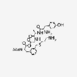 CN[C@@H](Cc1cccc(CSCCCN)c1)C(=O)OC(=O)CNC(=O)[C@@H](C)NC(=O)[C@@H](N)Cc1ccc(O)cc1